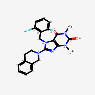 Cn1c(=O)c2c(nc(N3CCc4ccccc4C3)n2Cc2c(F)cccc2F)n(C)c1=O